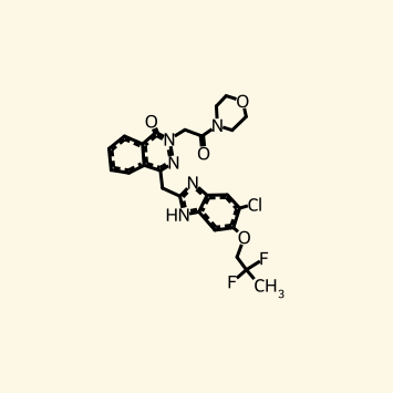 CC(F)(F)COc1cc2[nH]c(Cc3nn(CC(=O)N4CCOCC4)c(=O)c4ccccc34)nc2cc1Cl